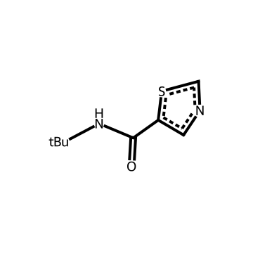 CC(C)(C)NC(=O)c1cncs1